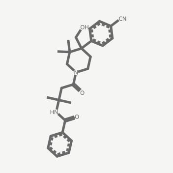 CC(C)(CC(=O)N1CCC(CO)(c2ccc(C#N)cc2)C(C)(C)C1)NC(=O)c1ccccc1